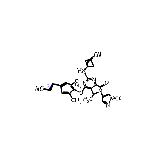 CCn1cc(N2C(=O)c3nc(NC45CC(C#N)(C4)C5)nc(Oc4c(C)cc(/C=C/C#N)cc4C)c3C2C)cn1